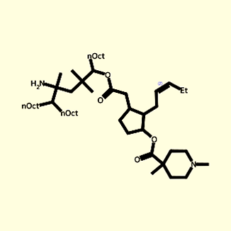 CC/C=C\CC1C(CC(=O)OC(CCCCCCCC)C(C)(C)CC(C)(N)C(CCCCCCCC)CCCCCCCC)CCC1OC(=O)C1(C)CCN(C)CC1